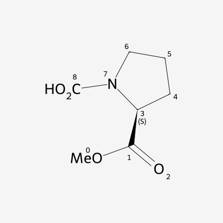 COC(=O)[C@@H]1CCCN1C(=O)O